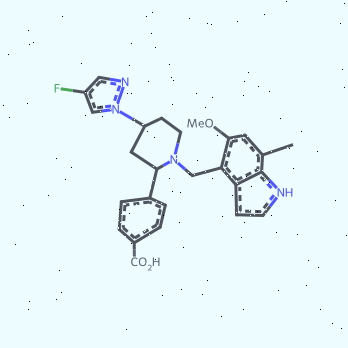 COc1cc(C)c2[nH]ccc2c1CN1CCC(n2cc(F)cn2)CC1c1ccc(C(=O)O)cc1